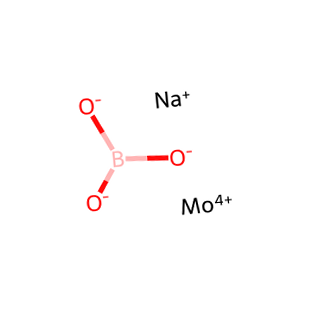 [Mo+4].[Na+].[O-]B([O-])[O-]